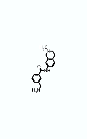 CN1CCc2ccc(NC(=O)c3cccc(CN)c3)cc2C1